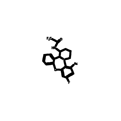 CC(=O)c1cc(F)cc2c1N1CCCC(NC(=O)C(F)(F)F)C1c1ccccc1O2